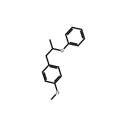 COc1ccc(CC(C)Oc2ccccc2)cc1